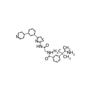 C=C(N)C(C)(C)c1cccc(C(=O)NCC(=O)Nc2nc(-c3cccc(-c4ccncc4)c3)cs2)c1